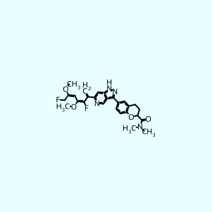 C=C(/C(F)=C(\C=C(/CF)OC)OC)c1cc2[nH]nc(-c3ccc4c(c3)CCC(C(=O)N(C)C)O4)c2cn1